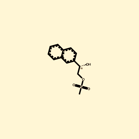 CS(=O)(=O)OC[C@@H](O)c1ccc2ccccc2c1